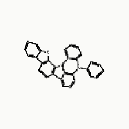 c1ccc(N2c3ccccc3-n3c4c2cccc4c2ccc4c5ccccc5sc4c23)cc1